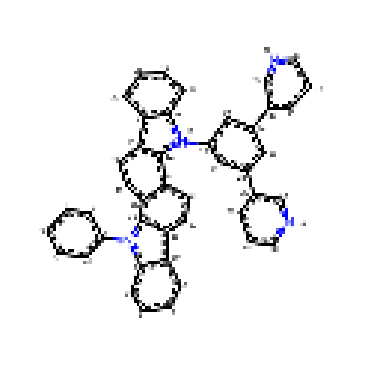 c1ccc(-n2c3ccccc3c3ccc4c(ccc5c6ccccc6n(-c6cc(-c7cccnc7)cc(-c7cccnc7)c6)c54)c32)cc1